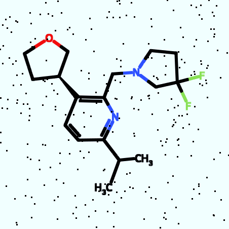 CC(C)c1ccc([C@H]2CCOC2)c(CN2CCC(F)(F)C2)n1